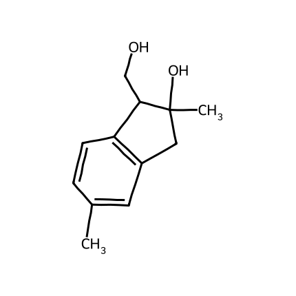 Cc1ccc2c(c1)CC(C)(O)C2CO